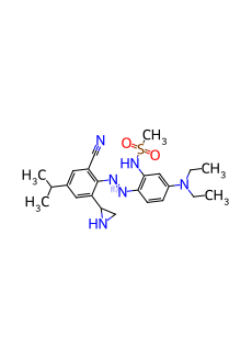 CCN(CC)c1ccc(/N=N/c2c(C#N)cc(C(C)C)cc2C2CN2)c(NS(C)(=O)=O)c1